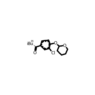 CC[C@@H](C)C(=O)c1ccc(OC2CCCCO2)c(Cl)c1